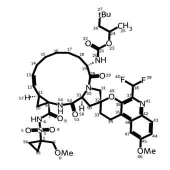 COCC1(S(=O)(=O)NC(=O)[C@@]23C[C@H]2/C=C\CCCCC[C@H](NC(=O)OC(C)CC(C)(C)C)C(=O)N2C[C@@]4(CCc5c(c(C(F)F)nc6ccc(OC)cc56)O4)C[C@H]2C(=O)N3)CC1